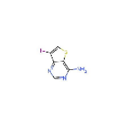 Nc1ncnc2c(I)csc12